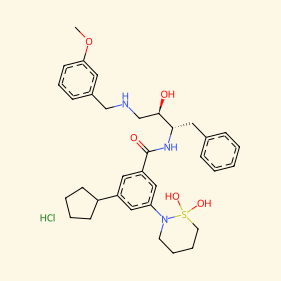 COc1cccc(CNC[C@@H](O)[C@H](Cc2ccccc2)NC(=O)c2cc(C3CCCC3)cc(N3CCCCS3(O)O)c2)c1.Cl